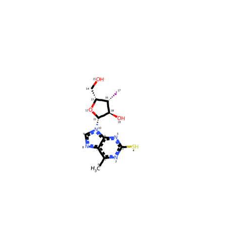 Cc1nc(S)nc2c1ncn2[C@@H]1O[C@H](CO)[C@H](I)[C@H]1O